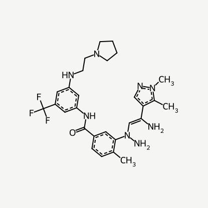 Cc1ccc(C(=O)Nc2cc(NCCN3CCCC3)cc(C(F)(F)F)c2)cc1N(N)/C=C(\N)c1cnn(C)c1C